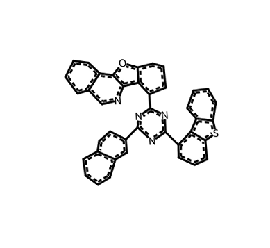 c1ccc2cc(-c3nc(-c4cccc5sc6ccccc6c45)nc(-c4cccc5oc6c7ccccc7cnc6c45)n3)ccc2c1